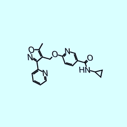 Cc1onc(-c2ccccn2)c1COc1ccc(C(=O)NC2CC2)cn1